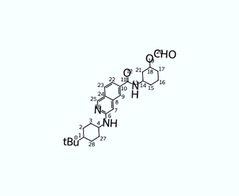 CC(C)(C)C1CCC(Nc2cc3cc(C(=O)NC4CCCC(OC=O)C4)ccc3cn2)CC1